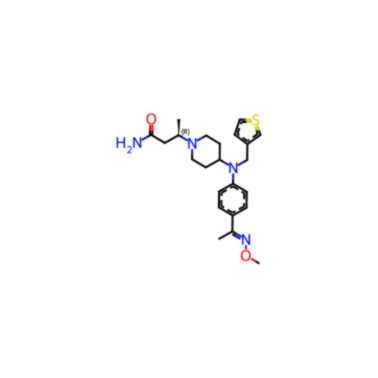 CON=C(C)c1ccc(N(Cc2ccsc2)C2CCN([C@H](C)CC(N)=O)CC2)cc1